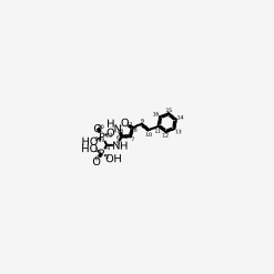 O=P(O)(O)C(Nc1cc(C=Cc2ccccc2)on1)P(=O)(O)O